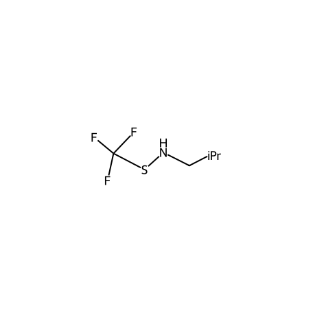 CC(C)CNSC(F)(F)F